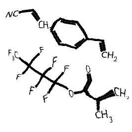 C=C(C)C(=O)OC(F)(F)C(F)(F)C(F)(F)C(F)(F)F.C=CC#N.C=Cc1ccccc1